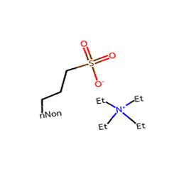 CCCCCCCCCCCCS(=O)(=O)[O-].CC[N+](CC)(CC)CC